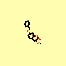 O=c1oc2cc(OCc3ccccc3)ccc2cc1C(F)(F)F